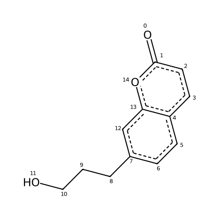 O=c1ccc2ccc(CCCO)cc2o1